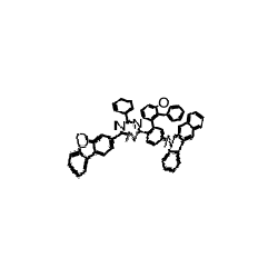 c1ccc(-c2nc(-c3ccc4c(c3)oc3ccccc34)nc(-c3ccc(-n4c5ccccc5c5cc6ccccc6cc54)cc3-c3cccc4oc5ccccc5c34)n2)cc1